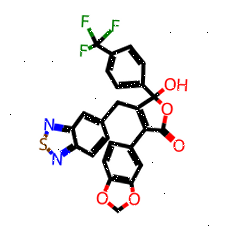 O=C1OC(O)(c2ccc(C(F)(F)F)cc2)C(Cc2ccc3nsnc3c2)=C1c1ccc2c(c1)OCO2